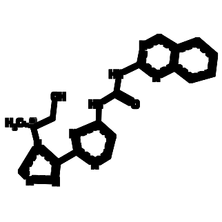 C[C@H](CO)n1cnnc1-c1nccc(NC(=O)Nc2ncc3ccccc3n2)n1